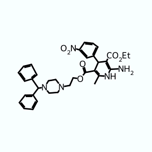 CCOC(=O)C1=C(N)NC(C)=C(C(=O)OCCN2CCN(C(c3ccccc3)c3ccccc3)CC2)C1c1cccc([N+](=O)[O-])c1